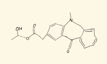 CC(O)OC(=O)Cc1ccc2c(c1)C(=O)c1ccccc1CN2C